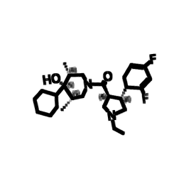 CCN1C[C@@H](C(=O)N2C[C@@H](C)[C@](O)(C3CCCCC3)[C@@H](C)C2)[C@H](C2CC=C(F)C=C2F)C1